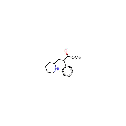 COC(=O)C(CC1CCCCN1)c1ccccc1